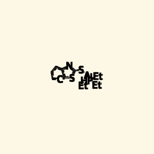 CC[PH](CC)(CC)[Au][S]c1nc2ccccc2s1